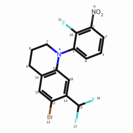 O=[N+]([O-])c1cccc(N2CCCc3cc(Br)c(C(F)F)cc32)c1F